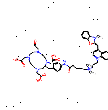 CN1/C(=C/c2cc[n+](CCC[N+](C)(C)CCCCC(=O)Nc3ccc(CC4CN(CC(=O)O)CCN(CC(=O)O)CCN(CC=O)CCN4CC(=O)O)cc3)c3ccccc23)Oc2ccccc21